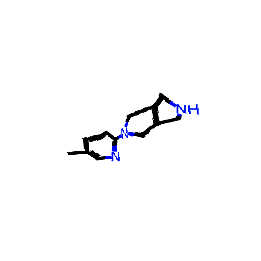 Cc1ccc(N2CC3CNCC3C2)nc1